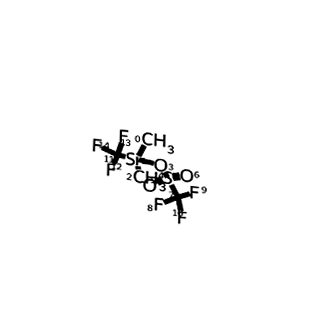 C[Si](C)(OS(=O)(=O)C(F)(F)F)C(F)(F)F